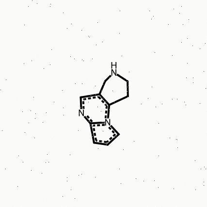 c1cc2ncc3c(n2c1)CCNC3